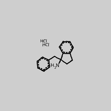 Cl.Cl.NC1(Cc2ccccc2)CCc2ccccc21